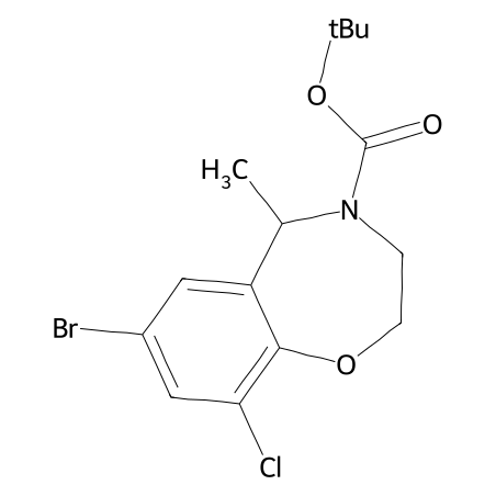 CC1c2cc(Br)cc(Cl)c2OCCN1C(=O)OC(C)(C)C